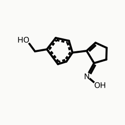 OCc1ccc(C2=CCC/C2=N\O)cc1